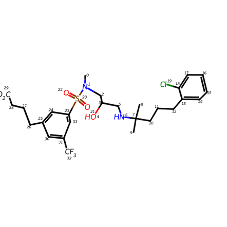 CN(CC(O)CNC(C)(C)CCCc1ccccc1Cl)S(=O)(=O)c1cc(CCCC(=O)O)cc(C(F)(F)F)c1